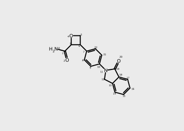 NC(=O)C1OCC1c1ccc(N2Cc3ccccc3C2=O)cc1